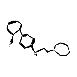 N#Cc1ccccc1-c1ccc(NCCN2CCCCCC2)cc1